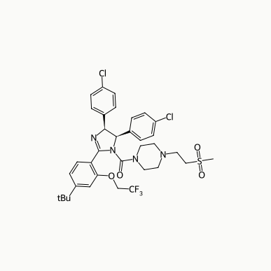 CC(C)(C)c1ccc(C2=N[C@@H](c3ccc(Cl)cc3)[C@@H](c3ccc(Cl)cc3)N2C(=O)N2CCN(CCS(C)(=O)=O)CC2)c(OCC(F)(F)F)c1